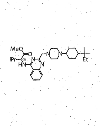 CCC(C)(C)C1CCC(N2CCN(Cc3nc(N[C@H](C(=O)OC)C(C)C)c4ccccc4n3)CC2)CC1